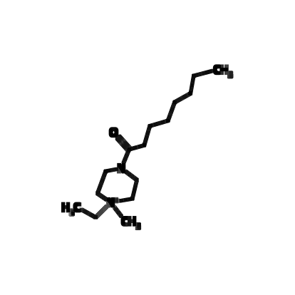 CCCCCCCC(=O)N1CC[N+](C)(CC)CC1